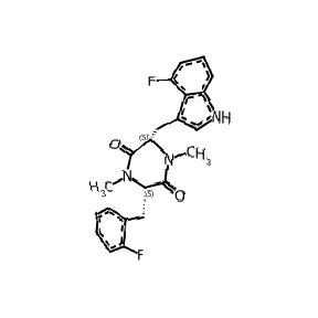 CN1C(=O)[C@H](Cc2c[nH]c3cccc(F)c23)N(C)C(=O)[C@@H]1Cc1ccccc1F